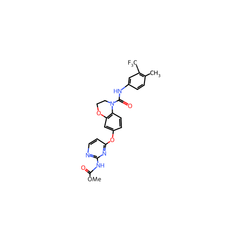 COC(=O)Nc1nccc(Oc2ccc3c(c2)OCCN3C(=O)Nc2ccc(C)c(C(F)(F)F)c2)n1